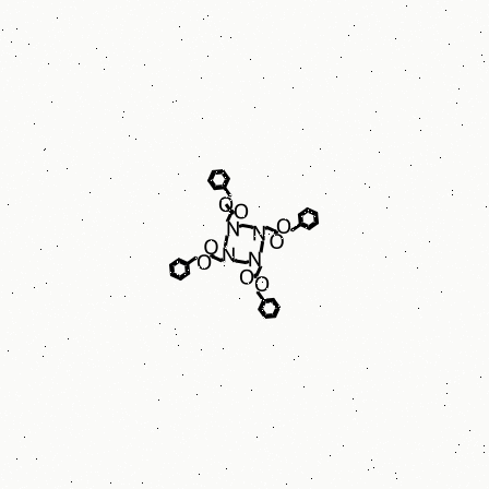 O=C(CN1CCN(CC(=O)OCc2ccccc2)CCN(CC(=O)OCc2ccccc2)CCN(CC(=O)OCc2ccccc2)CC1)OCc1ccccc1